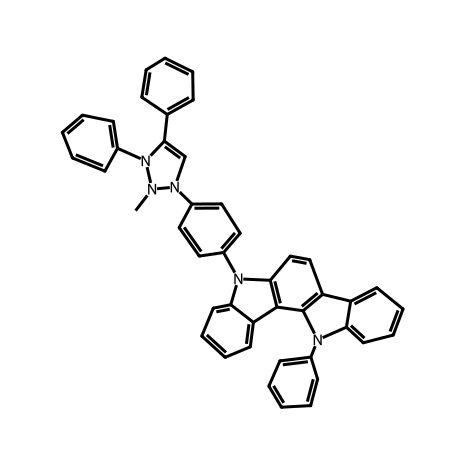 CN1N(c2ccc(-n3c4ccccc4c4c3ccc3c5ccccc5n(-c5ccccc5)c34)cc2)C=C(c2ccccc2)N1c1ccccc1